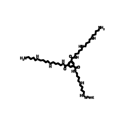 CCCCCNCCCCNCCCCNC(=O)c1cc(C(=O)NCCCCNCCCCNCCCCN)cc(C(=O)NCCCCNCCCCNCCCCN)c1